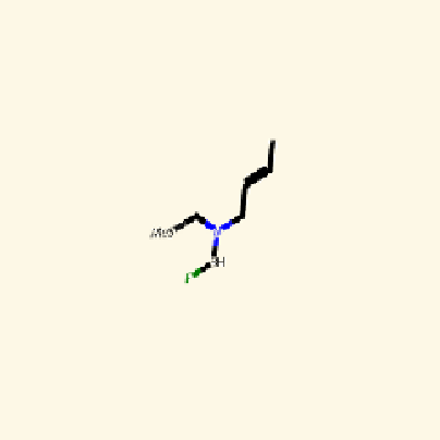 C/C=C/CN(BF)CSC